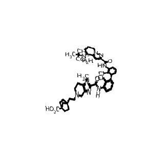 Cn1c(C(=O)Nc2cccc(-c3cccc(NC(=O)c4cc5n(n4)CCCC5NC(C)(C)C(=O)O)c3Cl)c2Cl)nc2c1CCN(CCC13CCC(C(=O)O)(CC1)C3)C2